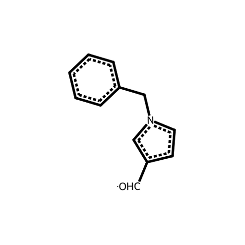 O=[C]c1ccn(Cc2ccccc2)c1